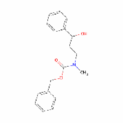 CN(CCC(O)c1ccccc1)C(=O)OCc1ccccc1